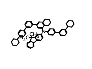 CC1(C)c2ccccc2-c2ccc(N(c3ccc(-c4cccc(C5CCCCC5)c4)cc3)c3cc(-c4cccc(-c5ccc(C6CCCCC6)cc5)c4)cc4c3CCCC4)cc21